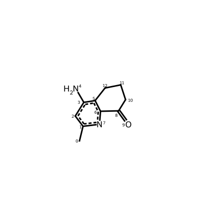 Cc1cc(N)c2c(n1)C(=O)CCC2